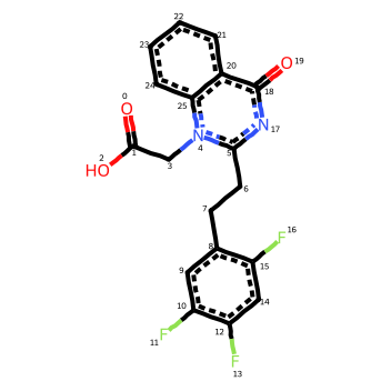 O=C(O)Cn1c(CCc2cc(F)c(F)cc2F)nc(=O)c2ccccc21